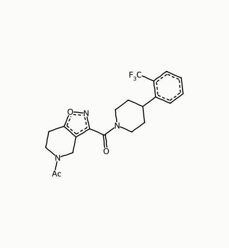 CC(=O)N1CCc2onc(C(=O)N3CCC(c4ccccc4C(F)(F)F)CC3)c2C1